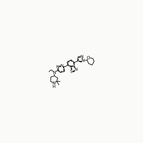 CCN(c1ccc(-c2ccc(-c3cnn(C4CCCCO4)c3)c3ncsc23)nn1)C1CCNC(C)(C)C1